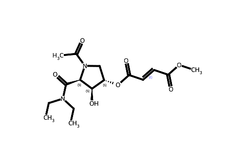 CCN(CC)C(=O)[C@@H]1[C@H](O)[C@@H](OC(=O)/C=C/C(=O)OC)CN1C(C)=O